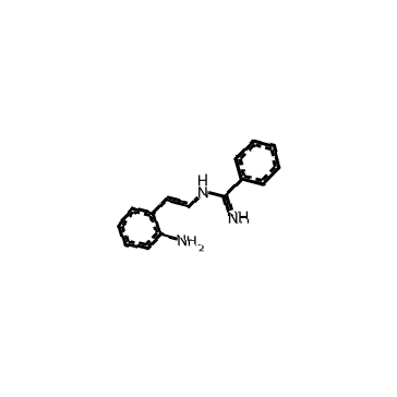 N=C(NC=Cc1ccccc1N)c1ccccc1